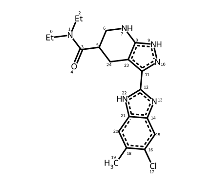 CCN(CC)C(=O)C1CNc2[nH]nc(-c3nc4cc(Cl)c(C)cc4[nH]3)c2C1